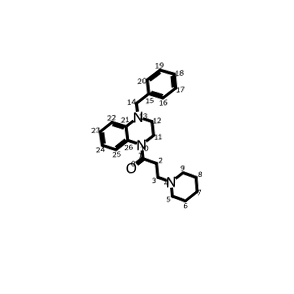 O=C(CCN1CCCCC1)N1CCN(Cc2ccccc2)c2ccccc21